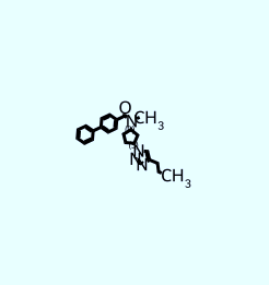 CCCc1cn([C@H]2CC[C@@H](N(C)C(=O)c3ccc(-c4ccccc4)cc3)C2)nn1